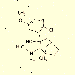 COc1ccc(Cl)c(C2(O)CC3CCC(C)(C3)C2N(C)C)c1